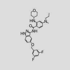 CCCN(C)c1ccc(C(=O)Nc2n[nH]c3ccc(OCc4cc(F)cc(F)c4)cc23)c(NC2CCOCC2)c1